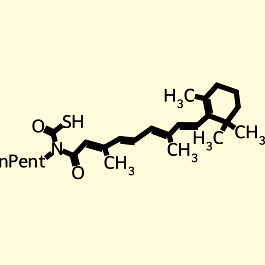 CCCCCN(C(=O)S)C(=O)/C=C(C)/C=C/C=C(C)/C=C/C1=C(C)CCCC1(C)C